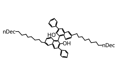 CCCCCCCCCCCCCCCCCCc1ccc2c(-c3c(O)c(-c4ccccc4)cc4cc(CCCCCCCCCCCCCCCCCC)ccc34)c(O)c(-c3ccccc3)cc2c1